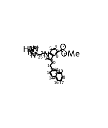 COC(=O)c1ccc2c(c1)c(CCc1ccc3ccccc3c1)cn2CCc1nn[nH]n1